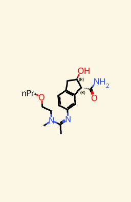 CCCOCCN(C)C(C)=Nc1ccc2c(c1)[C@@H](C(N)=O)[C@H](O)C2